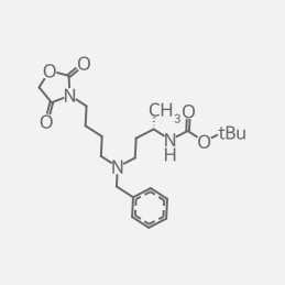 C[C@@H](CCN(CCCCN1C(=O)COC1=O)Cc1ccccc1)NC(=O)OC(C)(C)C